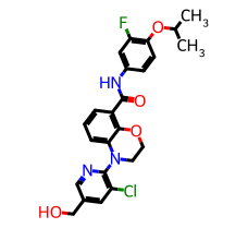 CC(C)Oc1ccc(NC(=O)c2cccc3c2OCCN3c2ncc(CO)cc2Cl)cc1F